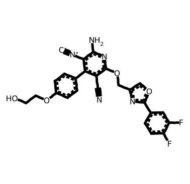 [C-]#[N+]c1c(N)nc(OCc2coc(-c3ccc(F)c(F)c3)n2)c(C#N)c1-c1ccc(OCCO)cc1